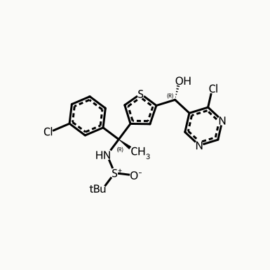 CC(C)(C)[S+]([O-])N[C@](C)(c1cccc(Cl)c1)c1csc([C@H](O)c2cncnc2Cl)c1